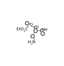 CCOC(=O)Cc1ccccc1OCc1coc2c(-c3c[nH]c4ccccc34)cc(-c3cccc(CN)c3)cc12